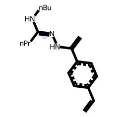 C=Cc1ccc(C(=C)N/N=C(\CCC)NCCCC)cc1